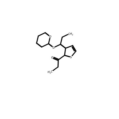 CCC(=O)C1SC=CC1C(CC)OC1CCCCO1